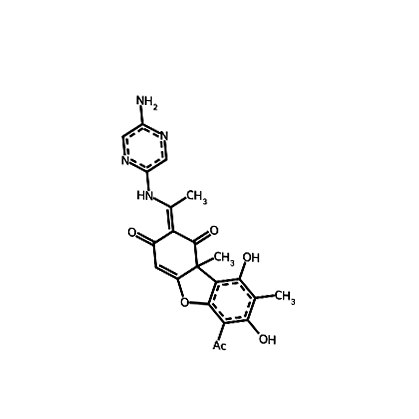 CC(=O)c1c(O)c(C)c(O)c2c1OC1=CC(=O)C(=C(C)Nc3cnc(N)cn3)C(=O)C12C